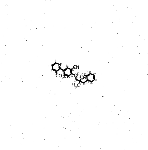 CCOC(=O)c1cccnc1-c1ccc(OCC(C)(C)Cc2ccccc2C(F)(F)F)c(C#N)c1